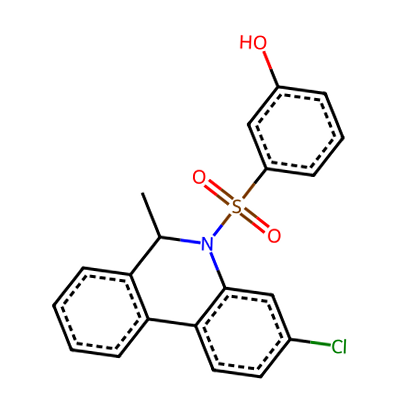 CC1c2ccccc2-c2ccc(Cl)cc2N1S(=O)(=O)c1cccc(O)c1